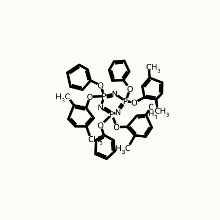 Cc1ccc(C)c(OP2(Oc3ccccc3)=NP(Oc3ccccc3)(Oc3cc(C)ccc3C)=NP(Oc3ccccc3)(Oc3cc(C)ccc3C)=N2)c1